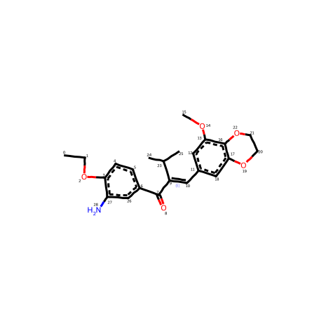 CCOc1ccc(C(=O)/C(=C/c2cc(OC)c3c(c2)OCCO3)C(C)C)cc1N